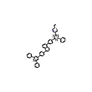 C=CC/C=C\C(=C/C)c1nc(-c2ccccc2)nc(-c2ccc(-c3cccc4c(-c5ccc(-c6cc(-c7ccccc7)nc(-c7ccccc7)c6)cc5)cccc34)cc2)n1